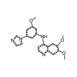 COc1cc(Nc2ccnc3cc(OC)c(OC)cc23)cc(-n2ccnc2)c1